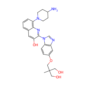 CC(CO)(CO)COc1ccc2c(c1)ncn2-c1nc2c(N3CCC(N)CC3)cccc2cc1O